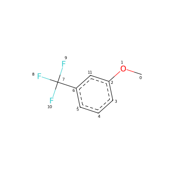 COc1cc[c]c(C(F)(F)F)c1